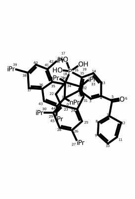 CCCC1(c2cc(C(=O)c3ccccc3)ccc2P(O)(O)(O)C2(CCC)Cc3c(cc(C(C)C)cc3C(C)C)C=C2C(C)C)Cc2c(cc(C(C)C)cc2C(C)C)C=C1C(C)C